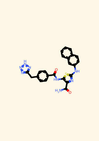 NC(=O)c1nc(Nc2ccc3ccccc3c2)sc1NC(=O)c1ccc(Cc2nn[nH]n2)cc1